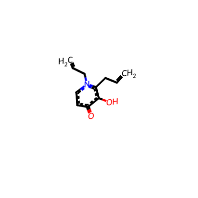 C=CCc1c(O)c(=O)ccn1CC=C